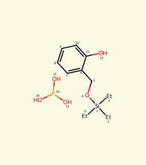 CC[Si](CC)(CC)OCc1ccccc1O.OP(O)O